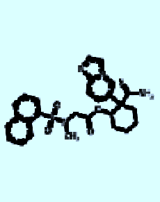 CN(CC(=O)OC1CCCCC1(C(N)=S)c1ccc2nccn2c1)S(=O)(=O)c1cccc2ccccc12